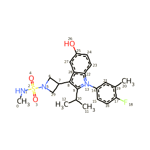 CNS(=O)(=O)N1CC(c2c(C(C)C)n(-c3ccc(F)c(C)c3)c3ccc(O)cc23)C1